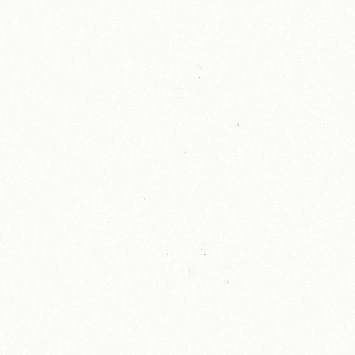 Cc1cc(C(=O)NCc2c(C)cc(N)nc2C)cc(Cc2nc3ccccc3cc2Cl)n1